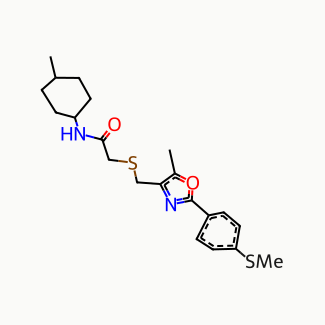 CSc1ccc(-c2nc(CSCC(=O)NC3CCC(C)CC3)c(C)o2)cc1